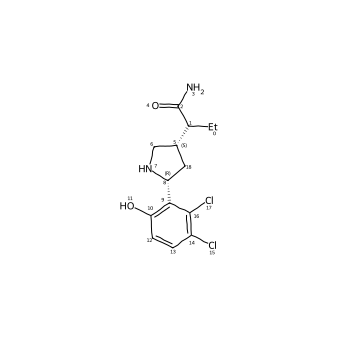 CCC(C(N)=O)[C@H]1CN[C@@H](c2c(O)ccc(Cl)c2Cl)C1